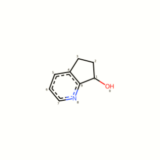 O[C]1CCc2cccnc21